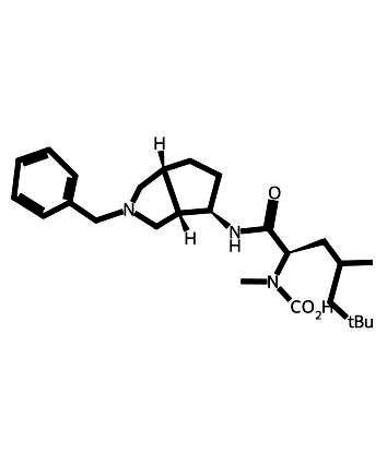 CC(C[C@H](C(=O)N[C@@H]1CC[C@H]2CN(Cc3ccccc3)C[C@H]21)N(C)C(=O)O)CC(C)(C)C